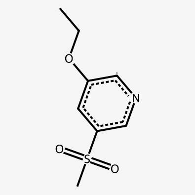 CCOc1[c]ncc(S(C)(=O)=O)c1